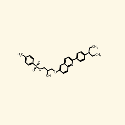 CCN(CC)c1ccc(-c2ccc3cc(OCC(O)COS(=O)(=O)c4ccc(C)cc4)ccc3n2)cc1